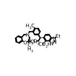 CCn1nnc2c(F)c([C@H](c3ccc(C)c(CN4Cc5ccccc5OC(C)(C)C4)c3)[C@@H](C)C(=O)O)ccc21